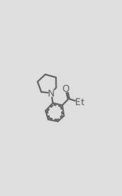 CCC(=O)c1ccccc1N1CCCCC1